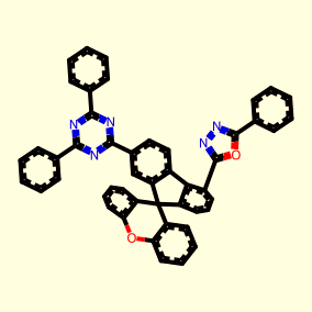 c1ccc(-c2nc(-c3ccccc3)nc(-c3ccc4c(c3)C3(c5ccccc5Oc5ccccc53)c3cccc(-c5nnc(-c6ccccc6)o5)c3-4)n2)cc1